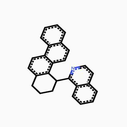 c1ccc2c(C3CCCc4ccc5c(ccc6ccccc65)c43)nccc2c1